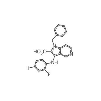 O=C(O)c1c(Nc2ccc(I)cc2F)c2cnccc2n1Cc1ccccc1